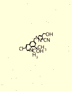 CC(C)(O)c1cc(Cn2cc(CO)c(C#N)n2)cc2cc(Cl)cnc12